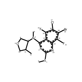 CSc1nc(N(C)C2COCC2C)c2c(F)c(Cl)c(Br)c(F)c2n1